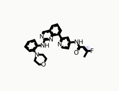 C/C(F)=C\C(=O)Nc1ccnc(-c2cccc3cnc(Nc4ccccc4N4CCOCC4)nc23)c1